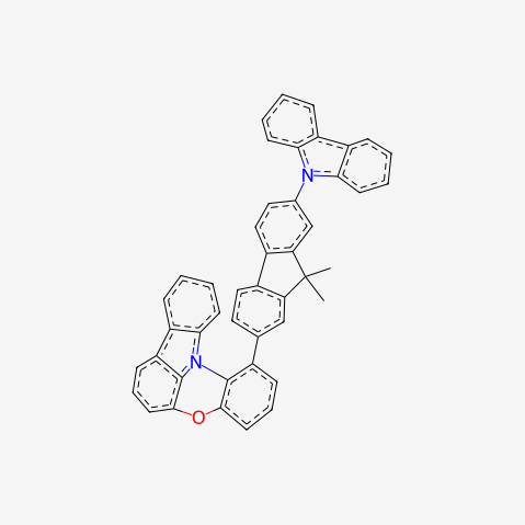 CC1(C)c2cc(-c3cccc4c3-n3c5ccccc5c5cccc(c53)O4)ccc2-c2ccc(-n3c4ccccc4c4ccccc43)cc21